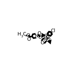 CCOC(=O)C1CCN(C(=O)OC2([C@H]3COC[C@@H](C4CC4)N3S(=O)(=O)c3ccc(Cl)cc3)CC2)CC1